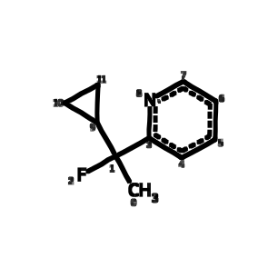 CC(F)(c1ccccn1)C1CC1